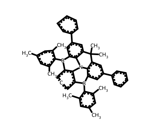 Cc1cc(C)c(B2c3cccc4c3N3c5c2cc(-c2ccccc2)cc5C(C)(C)c2cc(-c5ccccc5)cc(c23)B4c2c(C)cc(C)cc2C)c(C)c1